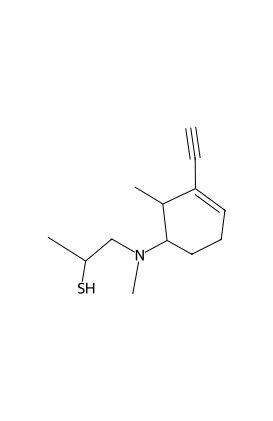 C#CC1=CCCC(N(C)CC(C)S)C1C